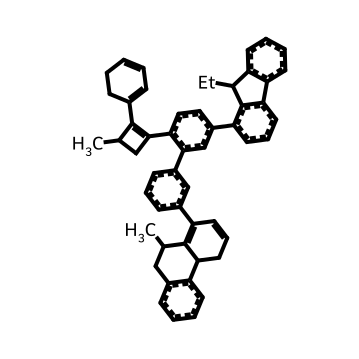 CCC1c2ccccc2-c2cccc(-c3ccc(C4=C(C5=CC=CCC5)C(C)C4)c(-c4cccc(C5=C6C(C)Cc7ccccc7C6CC=C5)c4)c3)c21